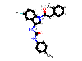 O=C(Nc1ccc(C(F)(F)F)cc1)Nc1cn(C(=O)Cc2ccccc2C(=O)O)c2ccc(F)cc12